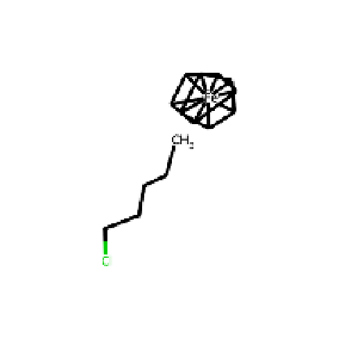 CCCCCCl.[CH]12[CH]3[CH]4[CH]5[CH]1[Fe]23451678[CH]2[CH]1[CH]6[CH]7[CH]28